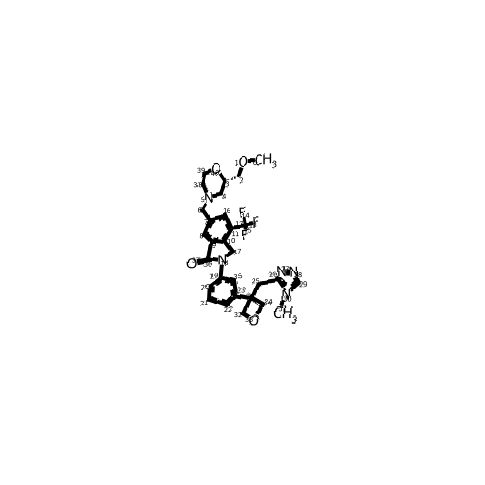 COC[C@@H]1CN(Cc2cc3c(c(C(F)(F)F)c2)CN(c2cccc(C4(Cc5nncn5C)COC4)c2)C3=O)CCO1